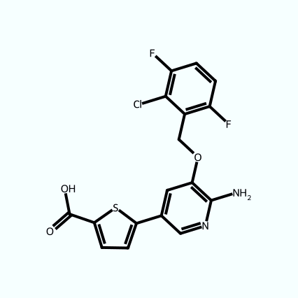 Nc1ncc(-c2ccc(C(=O)O)s2)cc1OCc1c(F)ccc(F)c1Cl